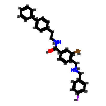 O=C(NCCc1ccc(-c2ccccc2)cc1)c1ccc(CNCc2ccc(I)cc2)c(Br)c1